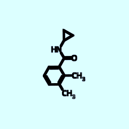 Cc1cccc(C(=O)NC2CC2)c1C